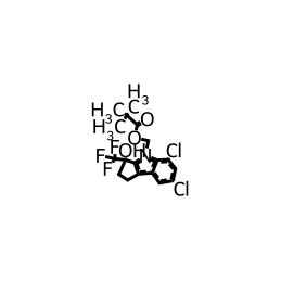 CC(C)(C)C(=O)OCn1c2c(c3cc(Cl)cc(Cl)c31)CCC2(O)C(F)(F)F